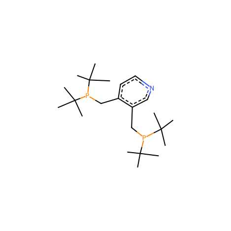 CC(C)(C)P(Cc1ccncc1CP(C(C)(C)C)C(C)(C)C)C(C)(C)C